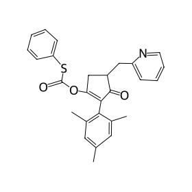 Cc1cc(C)c(C2=C(OC(=O)Sc3ccccc3)CC(Cc3ccccn3)C2=O)c(C)c1